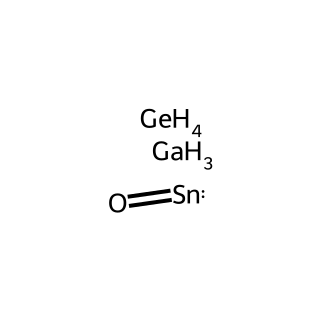 [GaH3].[GeH4].[O]=[Sn]